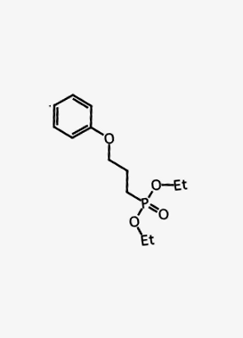 CCOP(=O)(CCCOc1cc[c]cc1)OCC